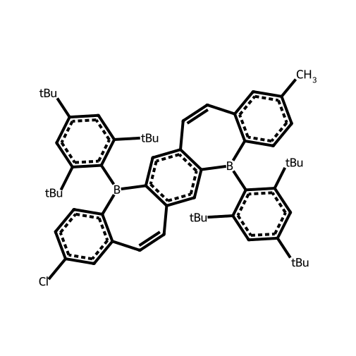 Cc1ccc2c(c1)C=Cc1cc3c(cc1B2c1c(C(C)(C)C)cc(C(C)(C)C)cc1C(C)(C)C)C=Cc1cc(Cl)ccc1B3c1c(C(C)(C)C)cc(C(C)(C)C)cc1C(C)(C)C